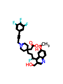 COc1ccc2ncc(CO)c([C@@H](F)CCC3(CC(=O)O)CCN(CC#Cc4cc(F)c(F)c(F)c4)CC3)c2c1